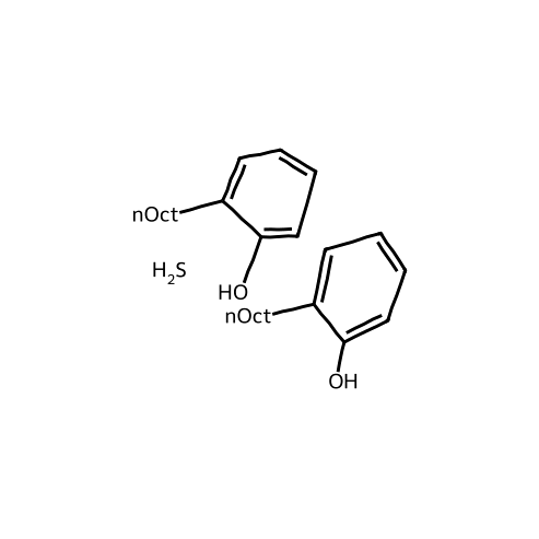 CCCCCCCCc1ccccc1O.CCCCCCCCc1ccccc1O.S